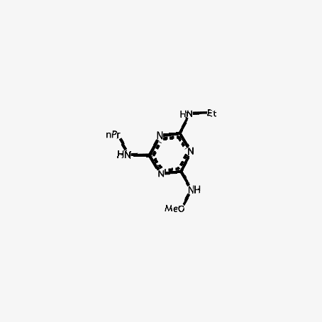 CCCNc1nc(NCC)nc(NOC)n1